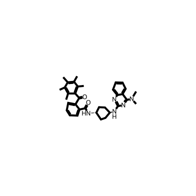 Cc1c(C)c(C)c(C(=O)c2ccccc2C(=O)N[C@H]2CC[C@@H](Nc3nc(N(C)C)c4ccccc4n3)CC2)c(C)c1C